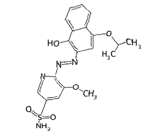 COc1cc(S(N)(=O)=O)cnc1N=Nc1cc(OC(C)C)c2ccccc2c1O